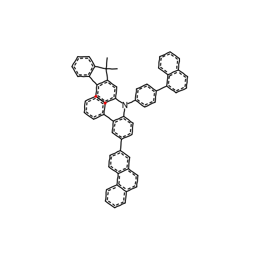 CC1(C)c2ccccc2-c2ccc(N(c3ccc(-c4cccc5ccccc45)cc3)c3ccc(-c4ccc5c(ccc6ccccc65)c4)cc3-c3ccccc3)cc21